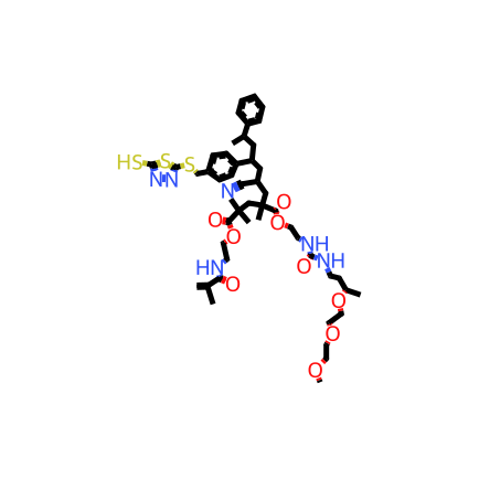 C=C(C)C(=O)NCCOC(=O)C(C)(C)CC(C)(CC(C#N)CC(CC(C)c1ccccc1)c1ccc(CSc2nnc(S)s2)cc1)C(=O)OCCNC(=O)NCCC(C)OCCOCCOC